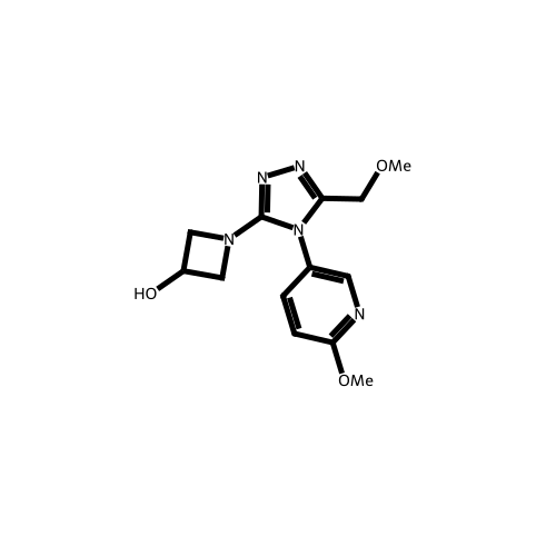 COCc1nnc(N2CC(O)C2)n1-c1ccc(OC)nc1